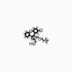 C[Si](C)(C)CCOCn1c(CO)nc2c1-c1cc(Cl)ccc1Oc1ccccc1-2